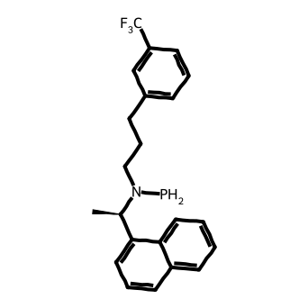 C[C@H](c1cccc2ccccc12)N(P)CCCc1cccc(C(F)(F)F)c1